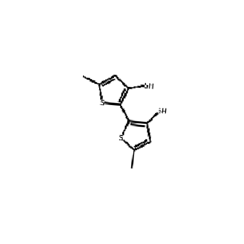 Cc1cc(S)c(-c2sc(C)cc2S)s1